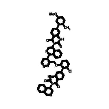 COc1ccc(C)c(-c2ccc3c(=O)n(-c4cnc(-c5ccnnc5COc5cccc(Cl)c5-c5ccc6c(=O)n(-c7cncc8ccccc78)c(=O)[nH]c6c5)c5ccccc45)c(=O)[nH]c3c2)c1